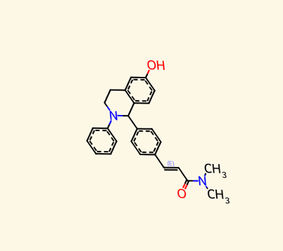 CN(C)C(=O)/C=C/c1ccc(C2c3ccc(O)cc3CCN2c2ccccc2)cc1